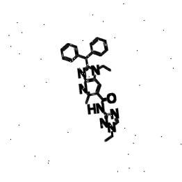 CCn1cnc(NC(=O)c2cc3c(nc2C)nc(C(c2ccccc2)c2ccccc2)n3CC)n1